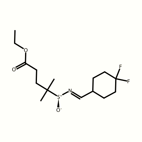 CCOC(=O)CCC(C)(C)[S@+]([O-])/N=C/C1CCC(F)(F)CC1